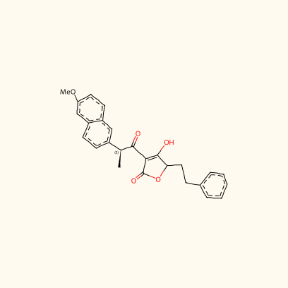 COc1ccc2cc([C@H](C)C(=O)C3=C(O)C(CCc4ccccc4)OC3=O)ccc2c1